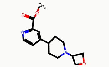 COC(=O)c1cc(C2CCN(C3COC3)CC2)ccn1